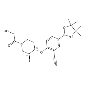 CC1(C)OB(c2ccc(O[C@H]3CCN(C(=O)CO)C[C@@H]3F)c(C#N)c2)OC1(C)C